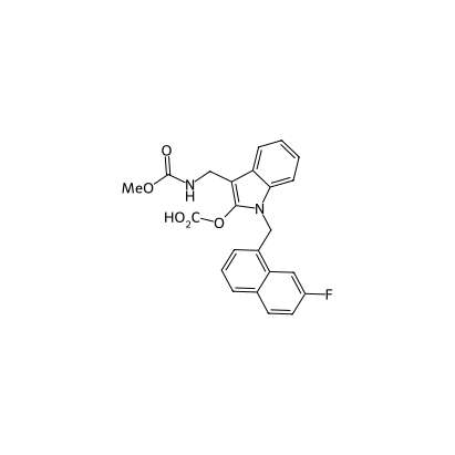 COC(=O)NCc1c(OC(=O)O)n(Cc2cccc3ccc(F)cc23)c2ccccc12